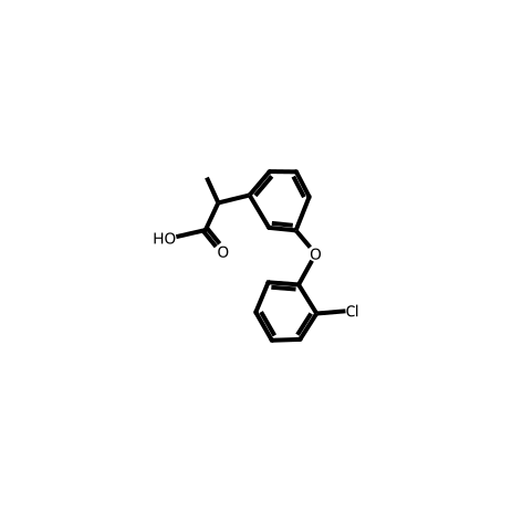 CC(C(=O)O)c1cccc(Oc2ccccc2Cl)c1